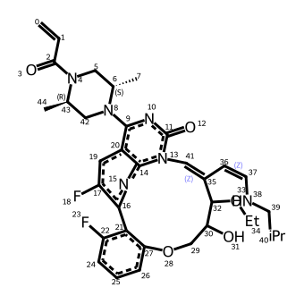 C=CC(=O)N1C[C@H](C)N(c2nc(=O)n3c4nc(c(F)cc24)-c2c(F)cccc2OCC(O)C(OCC)C(/C=C\NCC(C)C)=C\3)C[C@H]1C